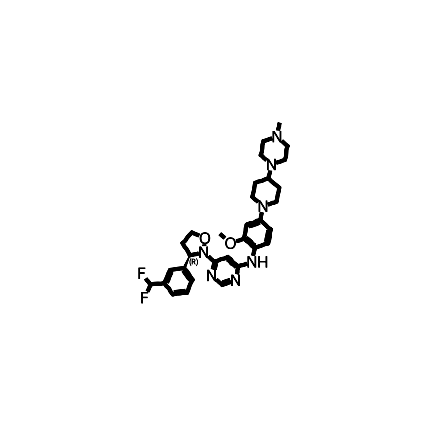 COc1cc(N2CCC(N3CCN(C)CC3)CC2)ccc1Nc1cc(N2OCC[C@@H]2c2cccc(C(F)F)c2)ncn1